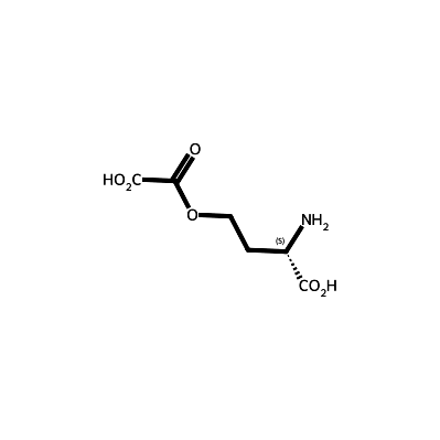 N[C@@H](CCOC(=O)C(=O)O)C(=O)O